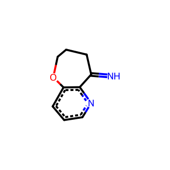 N=C1CCCOc2cccnc21